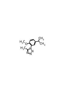 COc1ccc(C(C)C)cc1-n1nnnc1C